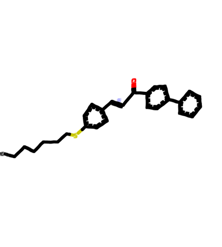 CCCCCCCCCCCCCCCCSc1ccc(/C=C/C(=O)c2ccc(-c3ccccc3)cc2)cc1